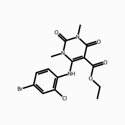 CCOC(=O)c1c(Nc2ccc(Br)cc2Cl)n(C)c(=O)n(C)c1=O